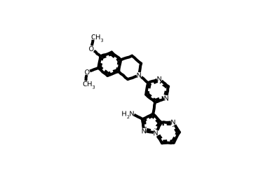 COc1cc2c(cc1OC)CN(c1cc(-c3c(N)nn4cccnc34)ncn1)CC2